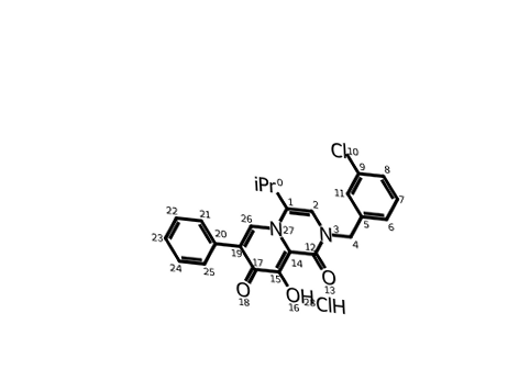 CC(C)c1cn(Cc2cccc(Cl)c2)c(=O)c2c(O)c(=O)c(-c3ccccc3)cn12.Cl